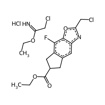 CCOC(=N)CCl.CCOC(=O)C1Cc2cc3nc(CCl)oc3c(F)c2C1.Cl